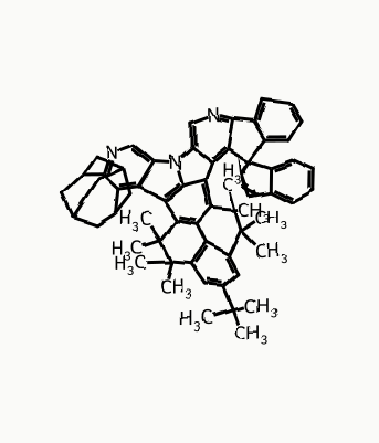 CC(C)(C)c1cc2c3c(c1)C(C)(C)C(C)(C)c1c-3c(c3c4c5c(ncc4n4c6cnc7c(c6c1c34)C1(c3ccccc3-c3ccccc31)c1ccccc1-7)C1CC3CC(C1)CC5C3)C(C)(C)C2(C)C